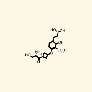 N[C@@H](CO)C(=O)N1CC(OC2=C(C(=O)O)C(O)C(CCB(O)O)C=C2)C1